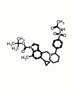 CC(=O)NS(=O)(=O)c1ccc(C2CCCCN2Cc2c(C3CC3)cc(C)c3c2ccn3C(=O)OC(C)(C)C)cc1